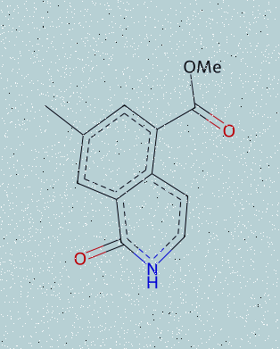 COC(=O)c1cc(C)cc2c(=O)[nH]ccc12